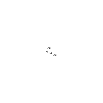 [Au].[Au].[Ni].[Ni]